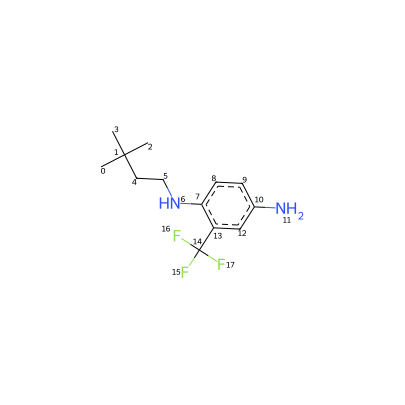 CC(C)(C)CCNc1ccc(N)cc1C(F)(F)F